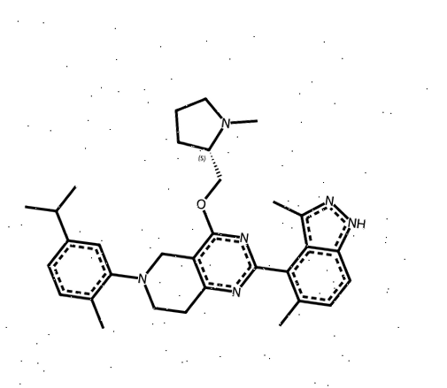 Cc1ccc(C(C)C)cc1N1CCc2nc(-c3c(C)ccc4[nH]nc(C)c34)nc(OC[C@@H]3CCCN3C)c2C1